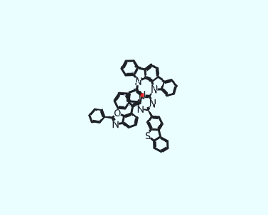 c1ccc(-c2nc(-c3ccc4c(c3)sc3ccccc34)nc(-n3c4ccccc4c4ccc5c6ccccc6n(-c6ccc(-c7cccc8nc(-c9ccccc9)oc78)cc6)c5c43)n2)cc1